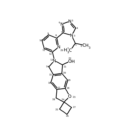 CC(C)n1cnnc1-c1cccc(N2Cc3cc4c(cc3C2O)OC2(CCC2)C4)n1